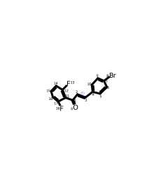 O=C(/C=C/c1ccc(Br)cc1)c1c(F)cccc1F